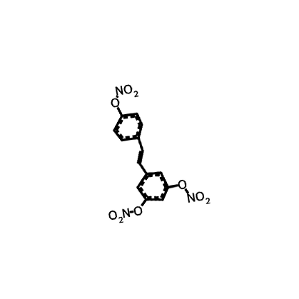 O=[N+]([O-])Oc1ccc(C=Cc2cc(O[N+](=O)[O-])cc(O[N+](=O)[O-])c2)cc1